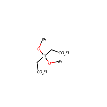 CCOC(=O)[CH2][Ti]([CH2]C(=O)OCC)([O]C(C)C)[O]C(C)C